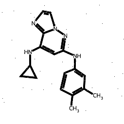 Cc1ccc(Nc2cc(NC3CC3)c3nccn3n2)cc1C